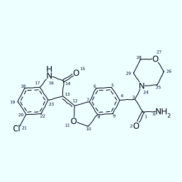 NC(=O)C(c1ccc2c(c1)CO/C2=C1/C(=O)Nc2ccc(Cl)cc21)N1CCOCC1